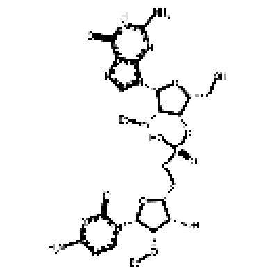 CCO[C@H]1[C@@H](O)[C@@H](COP(=O)(O)O[C@@H]2[C@H](OCC)[C@H](n3cnc4c(=O)[nH]c(N)nc43)O[C@@H]2CO)O[C@H]1n1cnc(N)nc1=O